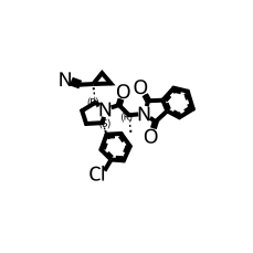 C[C@H](C(=O)N1[C@H](c2cccc(Cl)c2)CC[C@@H]1C1(C#N)CC1)N1C(=O)c2ccccc2C1=O